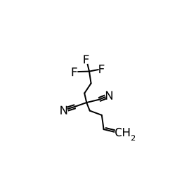 C=CCCC(C#N)(C#N)CCC(F)(F)F